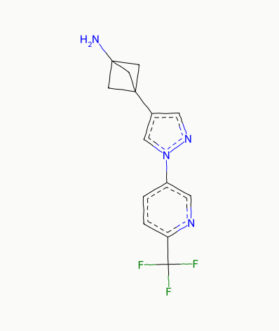 NC12CC(c3cnn(-c4ccc(C(F)(F)F)nc4)c3)(C1)C2